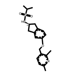 Cc1ccc(COc2ccc3c(c2)C[C@@H](NS(=O)(=O)C(C)C)C3)c(C)n1